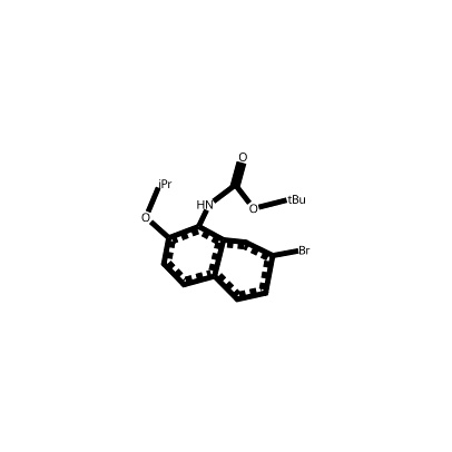 CC(C)Oc1ccc2ccc(Br)cc2c1NC(=O)OC(C)(C)C